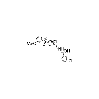 COc1cccc(S(=O)(=O)c2ccc(CCNC[C@H](O)c3cccc(Cl)c3)cc2)c1.Cl